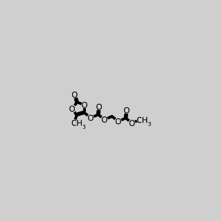 COC(=O)OCOC(=O)Oc1oc(=O)oc1C